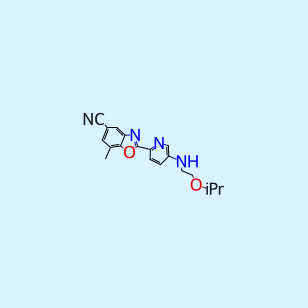 Cc1cc(C#N)cc2nc(-c3ccc(NCCOC(C)C)cn3)oc12